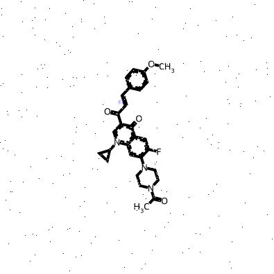 COc1ccc(/C=C/C(=O)c2cn(C3CC3)c3cc(N4CCN(C(C)=O)CC4)c(F)cc3c2=O)cc1